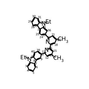 CCn1c2ccccc2c2cc(-c3cc(C)cc(-c4cc(C)cc(-c5ccc6c7ccccc7n(CC)c6c5)n4)n3)ccc21